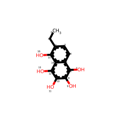 CCc1ccc2c(O)c(O)c(O)c(O)c2c1O